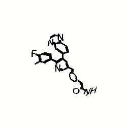 CNC(=O)COCc1cnc(-c2ccc(F)c(C)c2)c(-c2ccc3nccnc3c2)c1